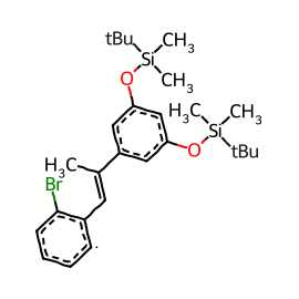 CC(=Cc1[c]cccc1Br)c1cc(O[Si](C)(C)C(C)(C)C)cc(O[Si](C)(C)C(C)(C)C)c1